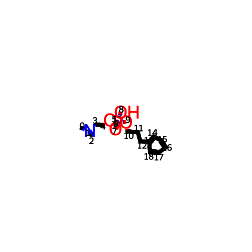 CN(C)CCOP(=O)(O)OCCCc1ccccc1